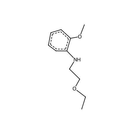 CCOCCNc1ccccc1OC